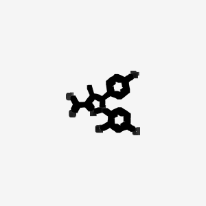 C[C@@H]1C(C(=O)Cl)=NN(c2ccc(Cl)cc2Cl)[C@@H]1c1ccc(Br)cc1